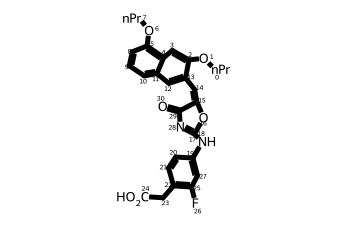 CCCOc1cc2c(OCCC)cccc2cc1C=C1OC(Nc2ccc(CC(=O)O)c(F)c2)=NC1=O